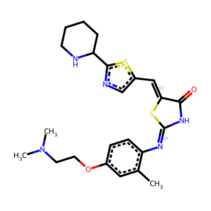 Cc1cc(OCCN(C)C)ccc1/N=C1/NC(=O)/C(=C/c2cnc(C3CCCCN3)s2)S1